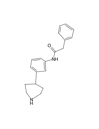 O=C(Cc1ccccc1)Nc1cccc(C2CCNCC2)c1